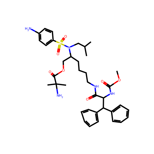 COC(=O)NC(C(=O)NCCCCC(COC(=O)C(C)(C)N)N(CC(C)C)S(=O)(=O)c1ccc(N)cc1)C(c1ccccc1)c1ccccc1